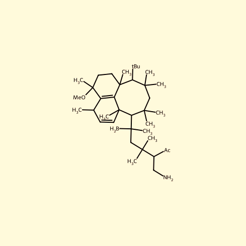 BC(C)(CC(C)(C)C(CN)C(C)=O)C1C(C)(C)CC(C)(C)C(C(C)(C)C)C2(C)CCC(C)(OC)C3=C2C1(C)C=CC3C